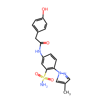 Cc1cnn(-c2ccc(NC(=O)Cc3ccc(O)cc3)cc2S(N)(=O)=O)c1